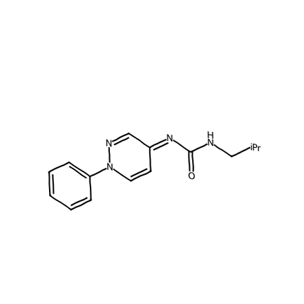 CC(C)CNC(=O)N=c1ccn(-c2ccccc2)nc1